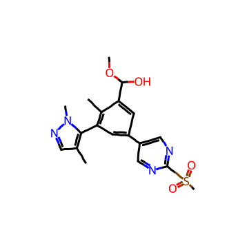 COC(O)c1cc(-c2cnc(S(C)(=O)=O)nc2)cc(-c2c(C)cnn2C)c1C